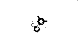 Cc1cc(C)cc(N2CCCC2=O)c1